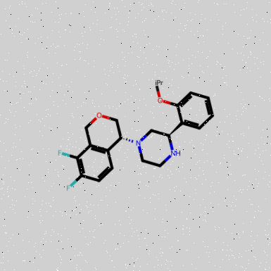 CC(C)Oc1ccccc1[C@@H]1CN([C@H]2COCc3c2ccc(F)c3F)CCN1